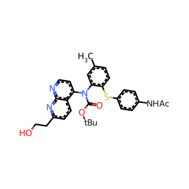 CC(=O)Nc1ccc(Sc2ccc(C)cc2N(C(=O)OC(C)(C)C)c2ccnc3nc(CCO)ccc23)cc1